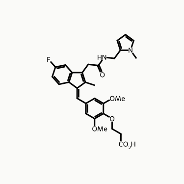 COc1cc(C=C2C(C)=C(CC(=O)NCc3cccn3C)c3cc(F)ccc32)cc(OC)c1OCCC(=O)O